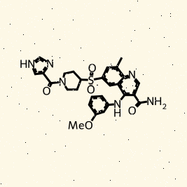 COc1cccc(Nc2c(C(N)=O)cnc3c(C)cc(S(=O)(=O)C4CCN(C(=O)c5c[nH]cn5)CC4)cc23)c1